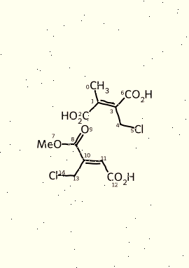 C/C(C(=O)O)=C(/CCl)C(=O)O.COC(=O)/C(=C/C(=O)O)CCl